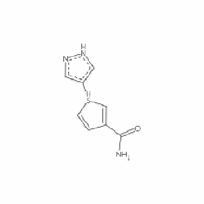 NC(=O)C1=C[SH](c2cn[nH]c2)C=C1